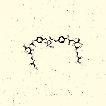 CCC(=O)OCOC(=O)N[C@@H](CC(=O)Nc1ccc(COP(=O)(CP(=O)(O)O)OCc2ccc(NC(=O)C[C@H](NC(=O)OCOC(=O)CC)C(=O)O)cc2)cc1)C(=O)O